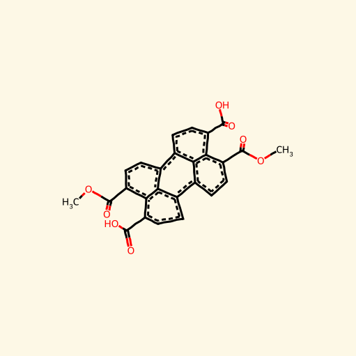 COC(=O)c1ccc2c3ccc(C(=O)O)c4c(C(=O)OC)ccc(c5ccc(C(=O)O)c1c52)c43